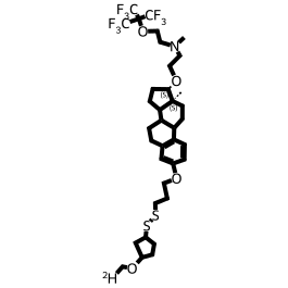 [2H]COC1CCC(SSCCCOc2ccc3c(c2)CCC2C3CC[C@@]3(C)C2CC[C@@H]3OCCN(C)CCOC(C(F)(F)F)(C(F)(F)F)C(F)(F)F)C1